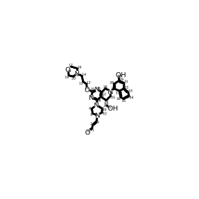 O=CC=CN1CCN(c2nc(OCCCN3CCOCC3)nc3c2CCN(c2cc(O)cc4ccccc24)C3)[C@H](CO)C1